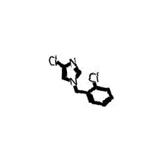 Clc1cn(Cc2ccccc2Cl)cn1